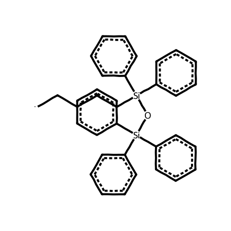 [CH2]CCCC[Si](O[Si](c1ccccc1)(c1ccccc1)c1ccccc1)(c1ccccc1)c1ccccc1